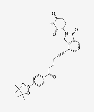 CC1(C)OB(c2ccc(C(=O)CCCC#Cc3cccc4c3CN(C3CCC(=O)NC3=O)C4=O)cc2)OC1(C)C